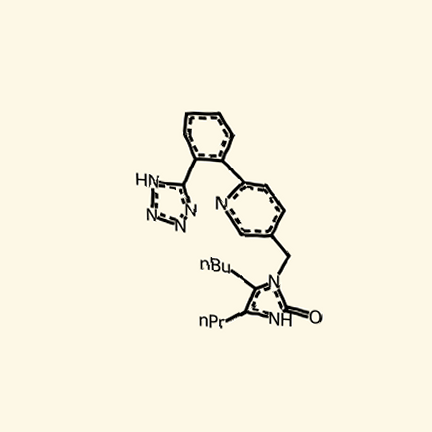 CCCCc1c(CCC)[nH]c(=O)n1Cc1ccc(-c2ccccc2-c2nnn[nH]2)nc1